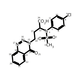 CS(=O)(=O)N(c1ccc(Cl)cc1)C(CCn1nnc2ccccc2c1=O)C(=O)O